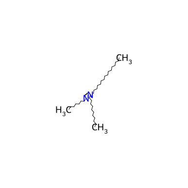 CCCCCCCCCCCCCCCCn1cc[n+](CCCCCCC)c1CCCCCCCCCC